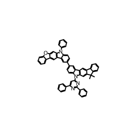 CC1(C)c2ccccc2-c2cc3c4cc(-c5ccc6c(c5)c5cc7c(cc5n6-c5ccccc5)oc5ccccc57)ccc4n(-c4cc(-c5ccccc5)nc(-c5ccccc5)n4)c3cc21